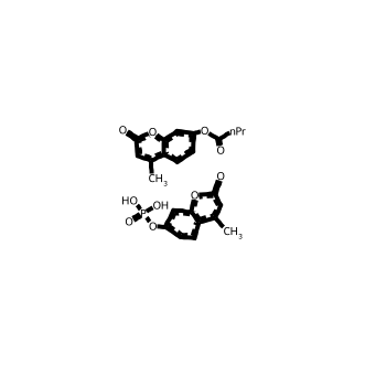 CCCC(=O)Oc1ccc2c(C)cc(=O)oc2c1.Cc1cc(=O)oc2cc(OP(=O)(O)O)ccc12